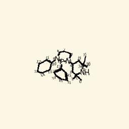 CC1(C)CC(N2CCCN(C3CCCCC3)P2c2ccccc2)CC(C)(C)N1